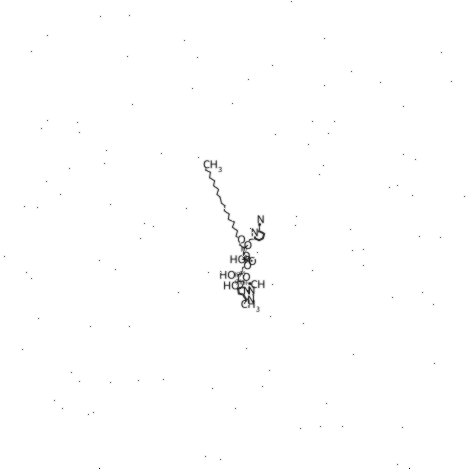 C#C[C@@]1(c2ccc3c(C)ncnn23)O[C@H](COP(=O)(O)OC[C@@H](COCCCCCCCCCCCCCCCCCC)OCc2cccc(C#N)n2)[C@@H](O)[C@H]1O